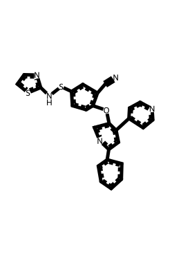 N#Cc1cc(SNc2nccs2)ccc1Oc1cnc(-c2ccccc2)cc1-c1ccncc1